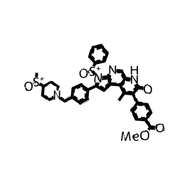 COC(=O)c1ccc(-c2c(C)c3c(cnc4c3cc(-c3ccc(CN5CCC([S+](C)[O-])CC5)cc3)n4[S+]([O-])c3ccccc3)[nH]c2=O)cc1